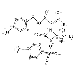 CCC(O)=C(C(=O)OCc1ccc([N+](=O)[O-])cc1)N1C(=O)CC1[N+](CC)(CC)CC.Cc1ccc(S(=O)(=O)[O-])cc1